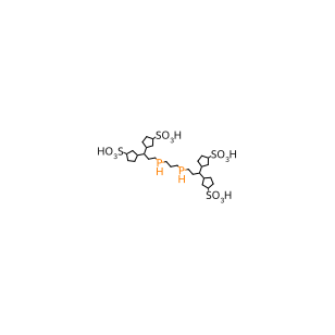 O=S(=O)(O)C1CCC(C(CCPCCCPCCC(C2CCC(S(=O)(=O)O)C2)C2CCC(S(=O)(=O)O)C2)C2CCC(S(=O)(=O)O)C2)C1